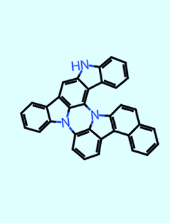 c1ccc2c(c1)ccc1c2c2cccc3c2n1c1c2c(cc4c5ccccc5n3c41)[nH]c1ccccc12